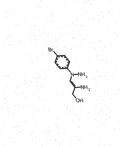 N/C(=C\N(N)c1ccc(Br)cc1)CO